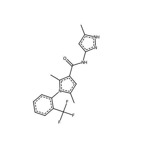 Cc1cc(NC(=O)c2cc(C)n(-c3ccccc3C(F)(F)F)c2C)n[nH]1